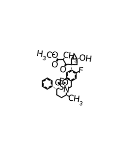 COC(=O)C(C)C(=O)[C@]1(c2cc(F)c(CN3[C@@H](C)CC[C@H](c4ccccc4)S3(=O)=O)cc2F)C[C@]2(O)CC21